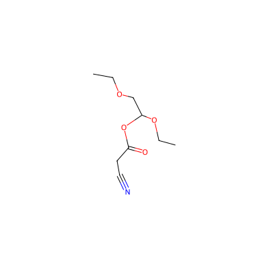 CCOCC(OCC)OC(=O)CC#N